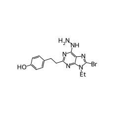 CCn1c(Br)nc2c(NN)nc(CCc3ccc(O)cc3)nc21